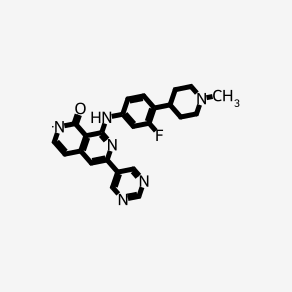 CN1CCC(c2ccc(Nc3nc(-c4cncnc4)cc4c3C(=O)[N]C=C4)cc2F)CC1